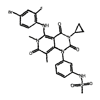 Cc1c(=O)n(C)c(Nc2ccc(Br)cc2F)c2c(=O)n(C3CC3)c(=O)n(-c3cccc(NS(C)(=O)=O)c3)c12